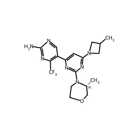 CC1CN(c2cc(-c3cnc(N)nc3C(F)(F)F)nc(N3CCOC[C@H]3C)n2)C1